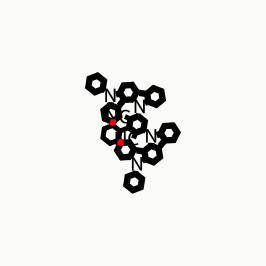 N#Cc1c(-n2c3ccccc3c3ccc4c(c5ccccc5n4-c4ccccc4)c32)cc(-n2c3ccccc3c3ccc4c(c5ccccc5n4-c4ccccc4)c32)c(C#N)c1C1CCCCC1